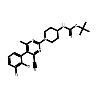 Cc1nc(N2CCC(NC(=O)OC(C)(C)C)CC2)nc(C#N)c1-c1cccc(Cl)c1Cl